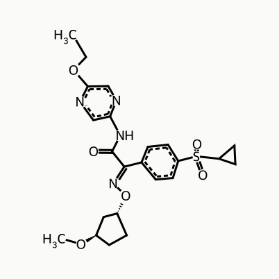 CCOc1cnc(NC(=O)/C(=N/O[C@@H]2CC[C@@H](OC)C2)c2ccc(S(=O)(=O)C3CC3)cc2)cn1